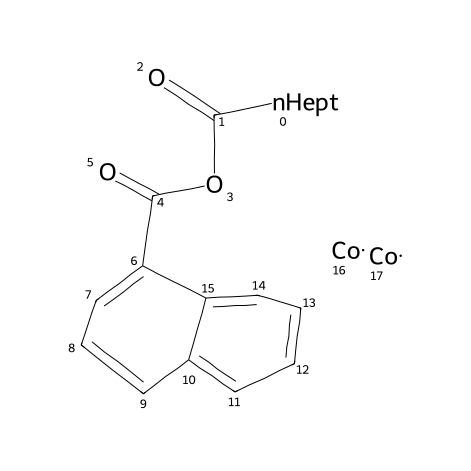 CCCCCCCC(=O)OC(=O)c1cccc2ccccc12.[Co].[Co]